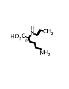 CC=CN[C@@H](CCCCN)C(=O)O